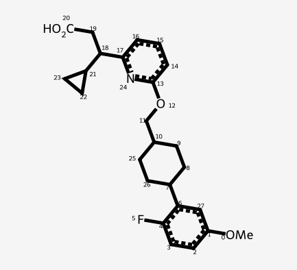 COc1ccc(F)c(C2CCC(COc3cccc(C(CC(=O)O)C4CC4)n3)CC2)c1